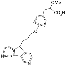 COC(Cc1ccc(OCCCC2c3ccncc3-c3cnccc32)cc1)C(=O)O